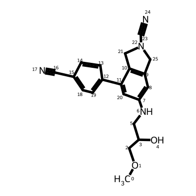 COCC(O)CNc1cc2c(c(-c3ccc(C#N)cc3)c1)CN(C#N)C2